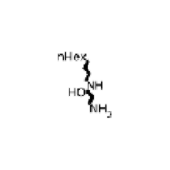 CCCCCCCCCCNC(O)CCN